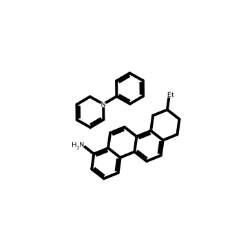 C1=CCN(c2ccccc2)C=C1.CCC1CCc2ccc3c(ccc4c(N)cccc43)c2C1